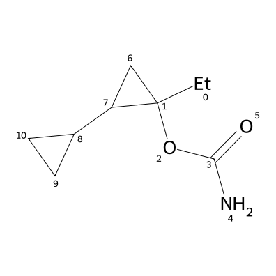 CCC1(OC(N)=O)CC1C1CC1